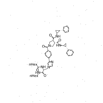 CCCCCCNC(=O)C(Cn1cnc(-c2ccc(C(=O)N3C[C@@H](C(=O)N[C@H]4C[C@@H]4c4ccccc4)[C@H](C(=O)N[C@H]4C[C@@H]4c4ccccc4)C3)cc2)c1)NC(=O)CCCCCC